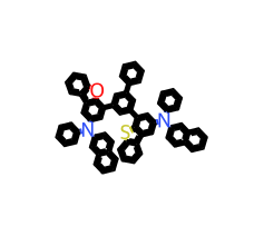 c1ccc(-c2cc(-c3cc(N(c4ccccc4)c4ccc5ccccc5c4)cc4c3oc3ccccc34)cc(-c3cc(N(c4ccccc4)c4ccc5ccccc5c4)cc4c3sc3ccccc34)c2)cc1